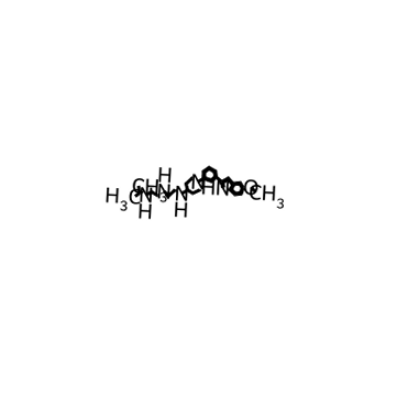 COc1ccc2[nH]c(-c3cccc(N4CCC(NCCNCCNC(C)C)CC4)c3)cc2c1